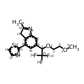 COCCOC(c1cc2c(c(-c3nccs3)c1)CC(C)=N2)C(F)(F)F